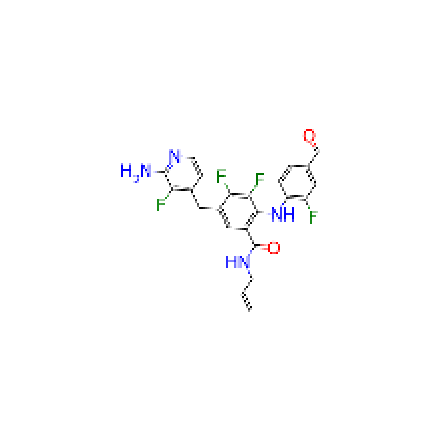 C=CCNC(=O)c1cc(Cc2ccnc(N)c2F)c(F)c(F)c1Nc1ccc(C=O)cc1F